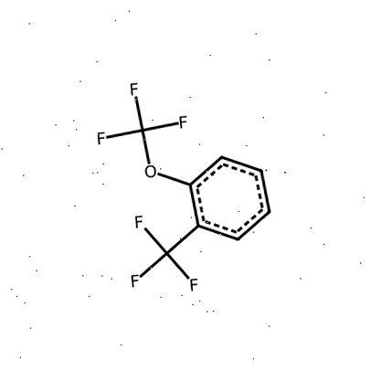 FC(F)(F)Oc1c[c]ccc1C(F)(F)F